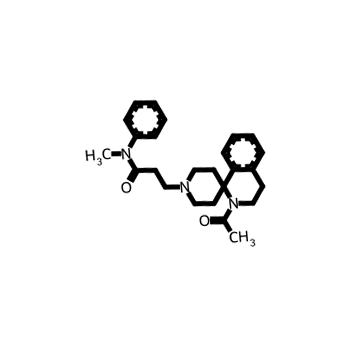 CC(=O)N1CCc2ccccc2C12CCN(CCC(=O)N(C)c1ccccc1)CC2